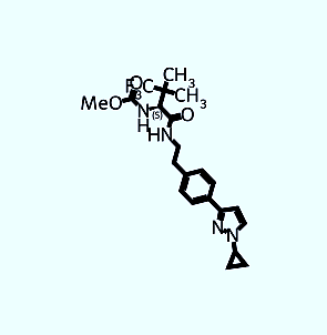 COC(=O)N[C@H](C(=O)NCCc1ccc(-c2ccn(C3CC3)n2)cc1)C(C)(C)C(F)(F)F